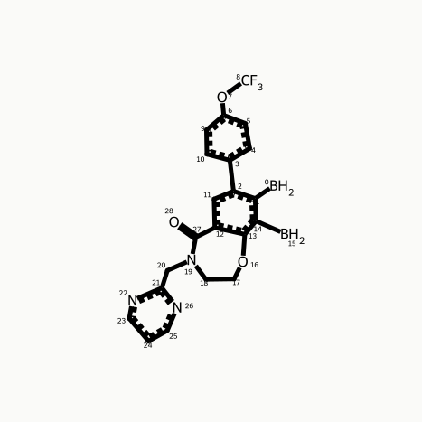 Bc1c(-c2ccc(OC(F)(F)F)cc2)cc2c(c1B)OCCN(Cc1ncccn1)C2=O